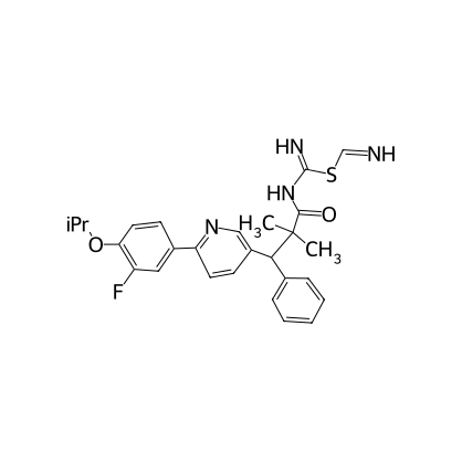 CC(C)Oc1ccc(-c2ccc(C(c3ccccc3)C(C)(C)C(=O)NC(=N)SC=N)cn2)cc1F